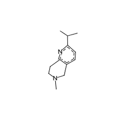 CC(C)c1ccc2c(n1)CCN(C)C2